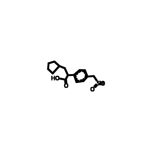 O=C(O)C(CC1CCCC1)c1ccc(C[SH](=O)=O)cc1